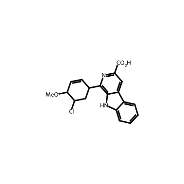 COC1C=CC(c2nc(C(=O)O)cc3c2[nH]c2ccccc23)CC1Cl